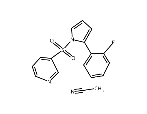 CC#N.O=S(=O)(c1cccnc1)n1cccc1-c1ccccc1F